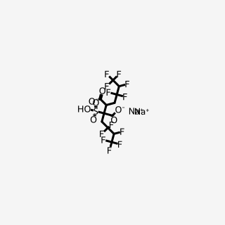 O=C([O-])C(CC(F)(F)C(F)C(F)(F)F)C(CC(F)(F)C(F)C(F)(F)F)(C(=O)[O-])S(=O)(=O)O.[Na+].[Na+]